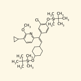 COc1nc(/C(=C\C2CCC(O[Si](C)(C)C(C)(C)C)CC2)c2ccc(O[Si](C)(C)C(C)(C)C)c(Cl)c2)ccc1C1CC1